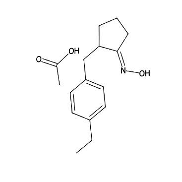 CC(=O)O.CCc1ccc(CC2CCCC2=NO)cc1